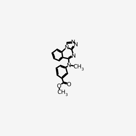 COC(=O)c1cccc(N(C)c2nc3nncn3c3ccccc23)c1